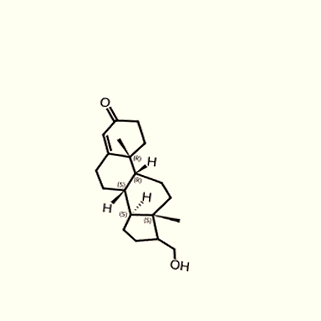 C[C@]12CCC(=O)C=C1CC[C@@H]1[C@H]2CC[C@]2(C)C(CO)CC[C@@H]12